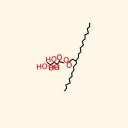 CCCCCCCCCCCCC(CCCCCCCCCC)CC(=O)OCC(=O)[C@H](O)[C@@H](O)[C@H](O)CO